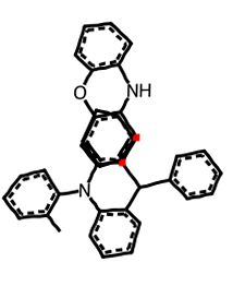 Cc1ccccc1N(c1ccc2c(c1)Oc1ccccc1N2)c1ccccc1C(C1=CCCC=C1)c1ccccc1